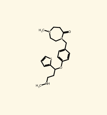 CNCCC(Oc1ccc(CN2CCN(C)CCC2=O)cc1)c1cccs1